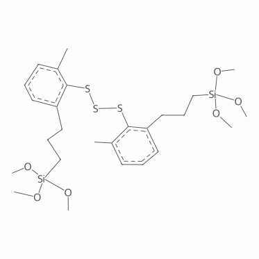 CO[Si](CCCc1cccc(C)c1SSSc1c(C)cccc1CCC[Si](OC)(OC)OC)(OC)OC